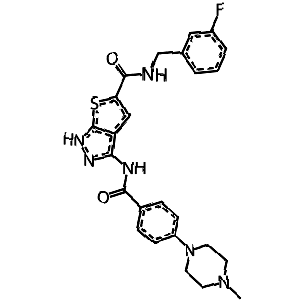 CN1CCN(c2ccc(C(=O)Nc3n[nH]c4sc(C(=O)NCc5cccc(F)c5)cc34)cc2)CC1